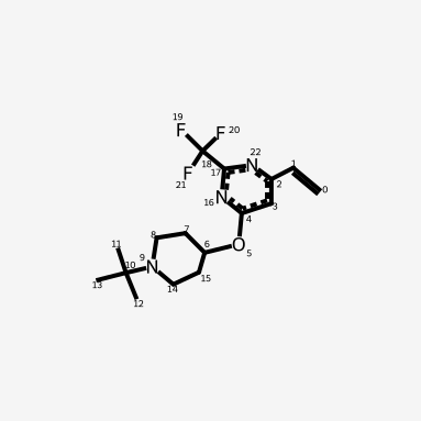 C=Cc1cc(OC2CCN(C(C)(C)C)CC2)nc(C(F)(F)F)n1